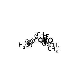 COC(=C1CCN(S(C)(=O)=O)CC1)c1ccc(S(=O)(=O)N(CC(C)C)c2ccccc2C(F)(F)F)cc1